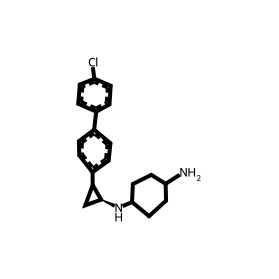 NC1CCC(N[C@H]2CC2c2ccc(-c3ccc(Cl)cc3)cc2)CC1